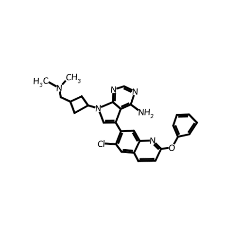 CN(C)CC1CC(n2cc(-c3cc4nc(Oc5ccccc5)ccc4cc3Cl)c3c(N)ncnc32)C1